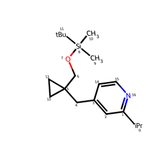 CC(C)c1cc(CC2(CO[Si](C)(C)C(C)(C)C)CC2)ccn1